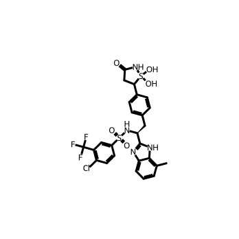 Cc1cccc2nc([C@H](Cc3ccc(C4CC(=O)NS4(O)O)cc3)NS(=O)(=O)c3ccc(Cl)c(C(F)(F)F)c3)[nH]c12